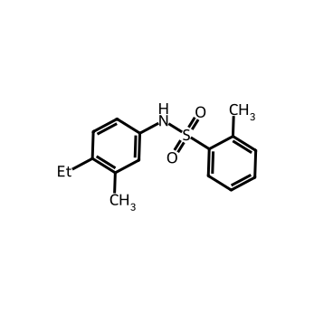 CCc1ccc(NS(=O)(=O)c2ccccc2C)cc1C